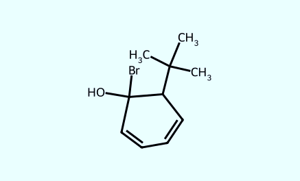 CC(C)(C)C1C=CC=CC1(O)Br